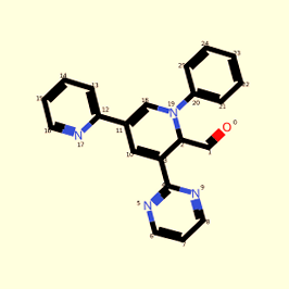 O=CC1C(c2ncccn2)=CC(c2ccccn2)=CN1c1ccccc1